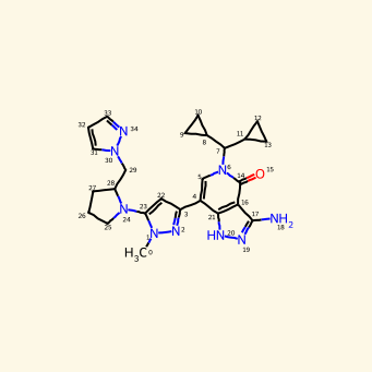 Cn1nc(-c2cn(C(C3CC3)C3CC3)c(=O)c3c(N)n[nH]c23)cc1N1CCCC1Cn1cccn1